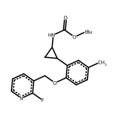 Cc1ccc(OCc2cccnc2F)c(C2CC2NC(=O)OC(C)(C)C)c1